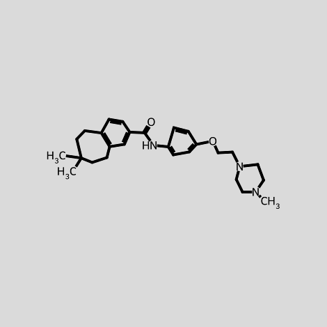 CN1CCN(CCOc2ccc(NC(=O)c3ccc4c(c3)CCC(C)(C)CC4)cc2)CC1